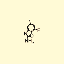 Cc1cc(F)c2oc(N)nc2c1